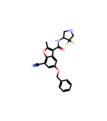 Cc1oc2c(C#N)cc(OCc3ccccc3)cc2c1C(=O)NC1CNCC1(F)F